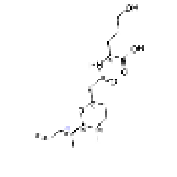 C=C/C=C(\C)[C@H]1O[C@@H](CC(=O)N[C@@H](CCCO)C(=O)O)CC[C@@H]1C